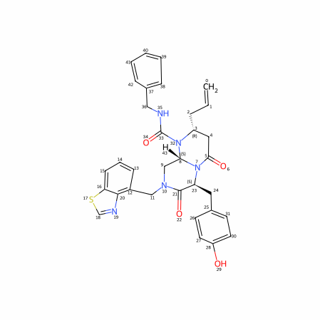 C=CC[C@@H]1CC(=O)N2[C@H](CN(Cc3cccc4scnc34)C(=O)[C@@H]2Cc2ccc(O)cc2)N1C(=O)NCc1ccccc1